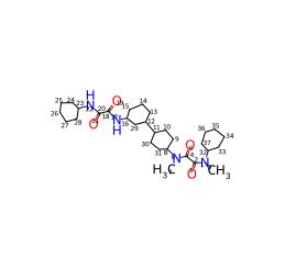 CN(C(=O)C(=O)N(C)C1CCC(C2CCCC(NC(=O)C(=O)NC3CCCCC3)C2)CC1)C1CCCCC1